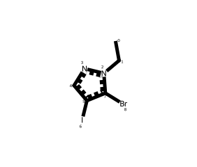 CCn1ncc(I)c1Br